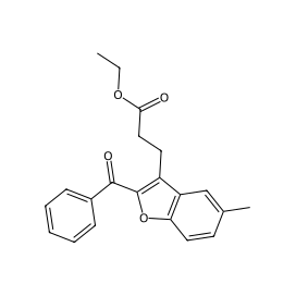 CCOC(=O)CCc1c(C(=O)c2ccccc2)oc2ccc(C)cc12